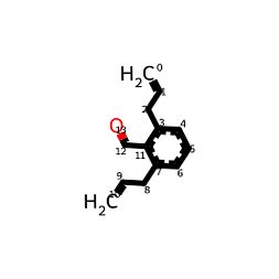 C=CCc1cccc(CC=C)c1C=O